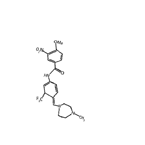 COc1ccc(C(=O)NC2=CC(C(F)(F)F)C(=CN3CCN(C)CC3)C=C2)cc1[N+](=O)[O-]